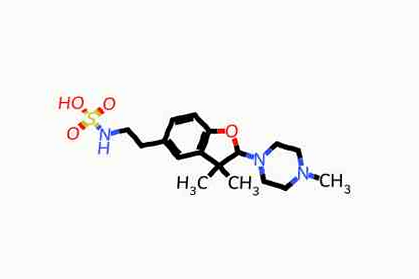 CN1CCN(C2Oc3ccc(CCNS(=O)(=O)O)cc3C2(C)C)CC1